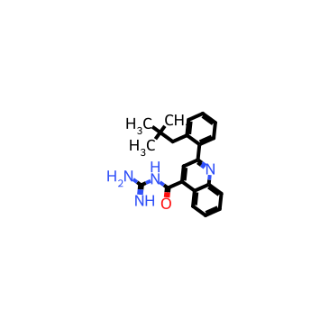 CC(C)(C)Cc1ccccc1-c1cc(C(=O)NC(=N)N)c2ccccc2n1